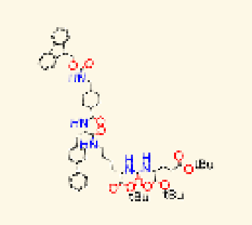 CC(C)(C)OC(=O)CC[C@H](NC(=O)N[C@@H](CCCCNC(=O)[C@H](Cc1ccc(-c2ccccc2)cc1)NC(=O)C1CCC(CNC(=O)OCC2c3ccccc3-c3ccccc32)CC1)C(=O)OC(C)(C)C)C(=O)OC(C)(C)C